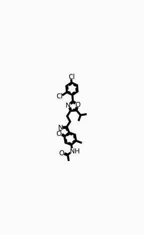 CC(=O)Nc1cc2onc(CCc3nc(-c4ccc(Cl)cc4Cl)oc3C(C)C)c2cc1C